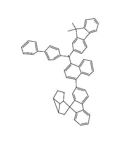 CC1(C)c2ccccc2-c2ccc(N(c3ccc(-c4ccccc4)cc3)c3ccc(-c4ccc5c(c4)C4(CC6C7CCC4C76)c4ccccc4-5)c4ccccc34)cc21